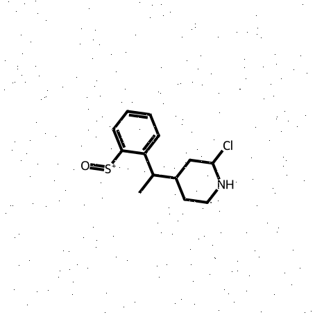 CC(c1ccccc1[S+]=O)C1C[CH]NC(Cl)C1